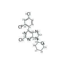 Clc1ccc(-c2nc(Cl)nc3c2ncn3C2CCCCO2)c(Cl)c1